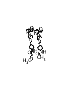 CCC(=O)N[C@H]1CC[C@H](CCN2CCN(c3nccc4occc34)CC2)CC1.COCCC(=O)N[C@H]1CC[C@H](CCN2CCN(c3nccc4occc34)CC2)CC1